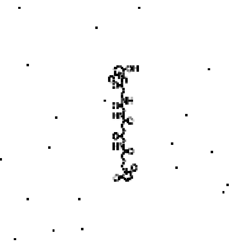 O=C(CCC(=O)NCC(=O)NCCC(=O)ON1C(=O)CCC1O)CNC(=O)CCCN1C(=O)C=CC1=O